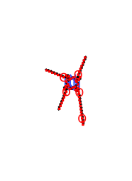 C=CCCOCCCCCCCCCCCCCCCCOc1ccc(C2=C3C=CC(=N3)C(c3cccc(OCCCCCCCCCCCCC)c3)=C3C=CC(=N3)C(c3cccc(OCCCCCCCCCCCCC)c3)=C3C=CC(=N3)C(c3cccc(OCCCCCCCCCCCCC)c3)=C3C=CC2=N3)cc1